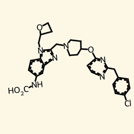 O=C(O)Nc1ccc2c(c1)nc(CN1CCC(Oc3ccnc(Cc4ccc(Cl)cc4)n3)CC1)n2CC1CCO1